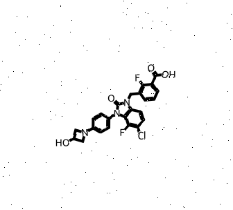 O=C(O)c1cccc(Cn2c(=O)n(-c3ccc(N4CC(O)C4)cc3)c3c(F)c(Cl)ccc32)c1F